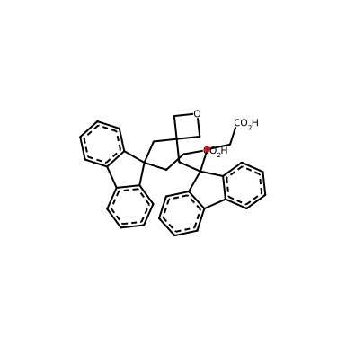 O=C(O)CCC1(CC2(CC3(CCC(=O)O)c4ccccc4-c4ccccc43)COC2)c2ccccc2-c2ccccc21